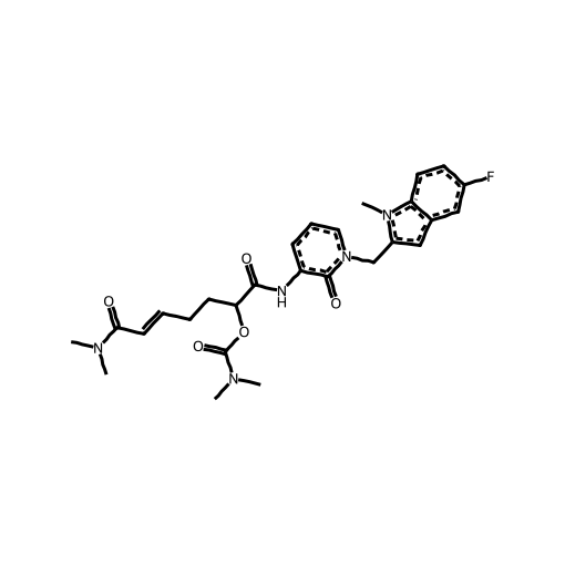 CN(C)C(=O)C=CCCC(OC(=O)N(C)C)C(=O)Nc1cccn(Cc2cc3cc(F)ccc3n2C)c1=O